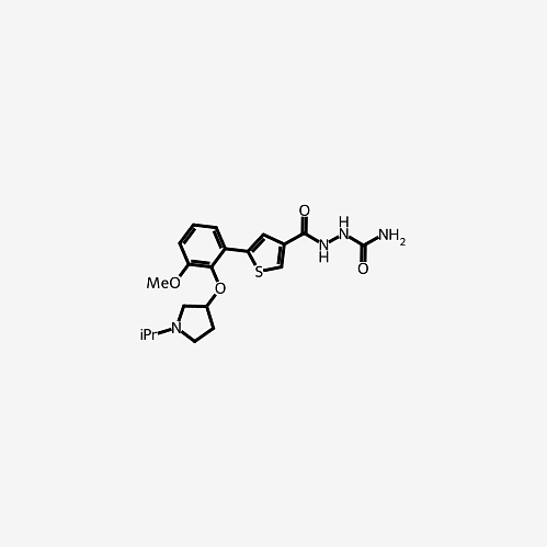 COc1cccc(-c2cc(C(=O)NNC(N)=O)cs2)c1OC1CCN(C(C)C)C1